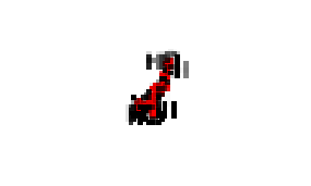 Cc1c(COc2cc(OCc3cncc(C#N)c3)c(CN[C@@](C)(CO)C(=O)O)cc2Cl)cccc1-c1cccc(-c2ccc(CNC3CNC(=O)C3)cc2)c1C